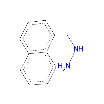 CNN.c1ccc2ccccc2c1